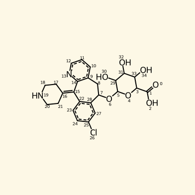 O=C(O)C1OC(OC2Cc3cccnc3C(=C3CCNCC3)c3ccc(Cl)cc32)C(O)C(O)C1O